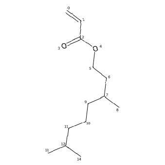 C=CC(=O)OCCC(C)CCCC(C)C